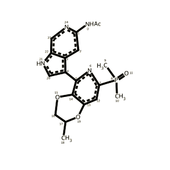 CC(=O)Nc1cc2c(-c3nc(P(C)(C)=O)cc4c3OCC(C)O4)c[nH]c2cn1